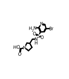 Nc1ncc(Br)cc1S(=O)(=O)NCC1CCN(C(=O)O)C1